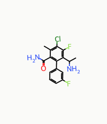 Cc1c(Cl)c(F)c(C(C)N)c(-c2cccc(F)c2)c1C(N)=O